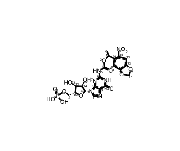 CC(OC(=O)Nc1nc2c(ncn2[C@@H]2O[C@H](COP(=O)(O)O)[C@@H](O)[C@H]2O)c(=O)[nH]1)c1cc2c(cc1[N+](=O)[O-])OCO2